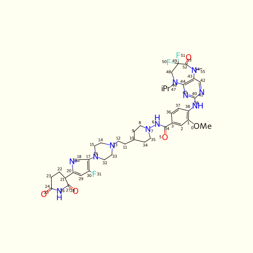 COc1cc(C(=O)NN2CCC(CCN3CCN(c4cnc(C5CCC(=O)NC5=O)cc4F)CC3)CC2)ccc1Nc1ncc2c(n1)N(C(C)C)CC(F)(F)C(=O)N2C